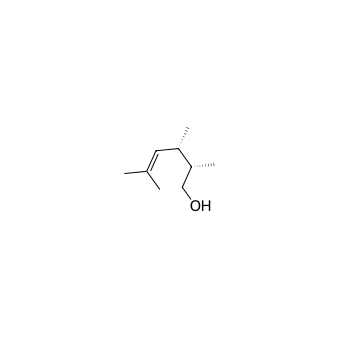 CC(C)=C[C@H](C)[C@H](C)CO